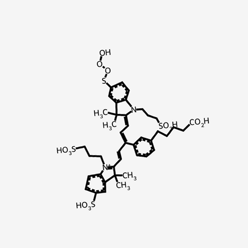 CC1(C)C(/C=C/C(=C/C=C2/N(CCCS(=O)(=O)O)c3ccc(SOOO)cc3C2(C)C)c2cccc(CCCCC(=O)O)c2)=[N+](CCCS(=O)(=O)O)c2ccc(S(=O)(=O)O)cc21